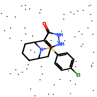 O=c1[nH][nH]c2c1C1CCCC(C2)N1Sc1ccc(Cl)cc1